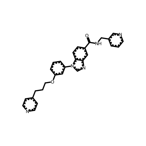 O=C(NCc1cccnc1)c1ccc2c(c1)ncn2-c1cccc(OCCCc2ccncc2)c1